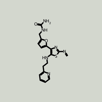 C=Nc1nc(-c2ccc(CNC(N)=O)o2)c(NCCc2ccccn2)s1